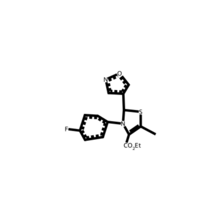 CCOC(=O)C1=C(C)SC(c2cnoc2)N1c1ccc(F)cc1